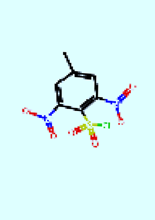 Cc1cc([N+](=O)[O-])c(S(=O)(=O)Cl)c([N+](=O)[O-])c1